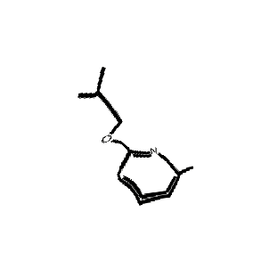 CC1=C=C=CC(OCC(C)C)=N1